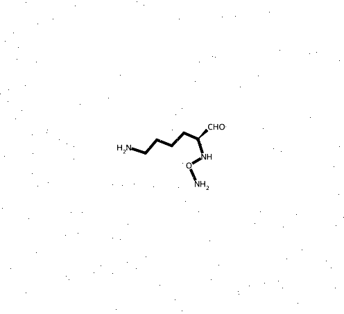 NCCCC[C@@H]([C]=O)NON